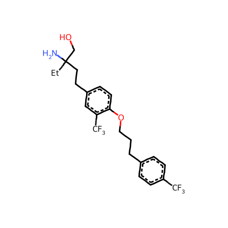 CCC(N)(CO)CCc1ccc(OCCCc2ccc(C(F)(F)F)cc2)c(C(F)(F)F)c1